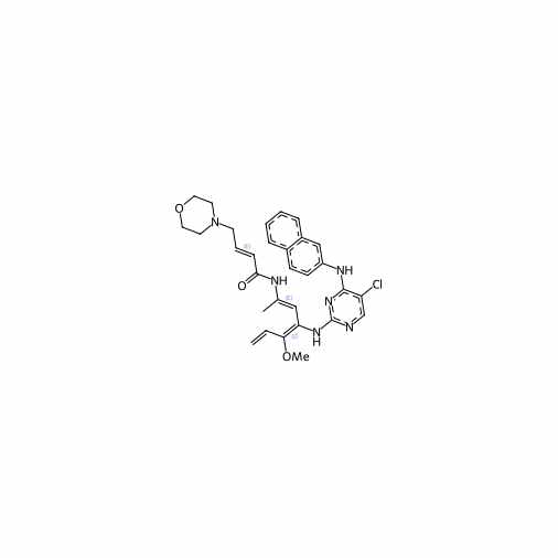 C=C/C(OC)=C(\C=C(/C)NC(=O)/C=C/CN1CCOCC1)Nc1ncc(Cl)c(Nc2ccc3ccccc3c2)n1